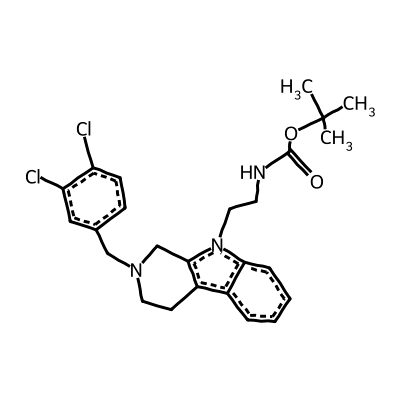 CC(C)(C)OC(=O)NCCn1c2c(c3ccccc31)CCN(Cc1ccc(Cl)c(Cl)c1)C2